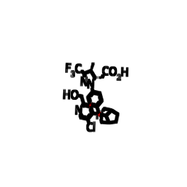 C[C@@H]1C(C(F)(F)F)=NN(c2ccc(CC3C4CCC3CN(c3cc(CO)ncc3Cl)C4)cc2)[C@H]1CC(=O)O